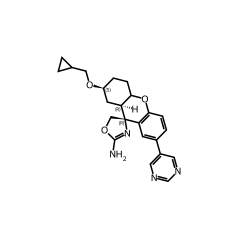 NC1=N[C@@]2(CO1)c1cc(-c3cncnc3)ccc1OC1CC[C@H](OCC3CC3)C[C@@H]12